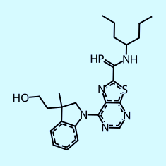 CCCC(CCC)NC(=P)c1nc2c(N3CC(C)(CCO)c4ccccc43)ncnc2s1